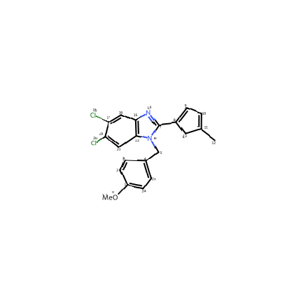 COc1ccc(Cn2c(C3=CC=C(C)C3)nc3cc(Cl)c(Cl)cc32)cc1